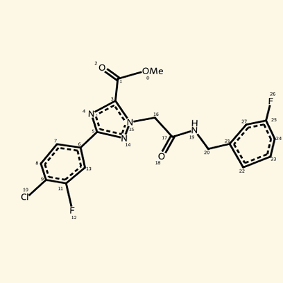 COC(=O)c1nc(-c2ccc(Cl)c(F)c2)nn1CC(=O)NCc1cccc(F)c1